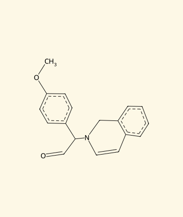 COc1ccc(C(C=O)N2C=Cc3ccccc3C2)cc1